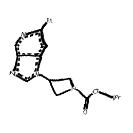 CCc1cc2c(cn1)ncn2C1CN(C(=O)OC(C)C)C1